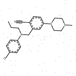 CCCN(Cc1cc(N2CCN(C)CC2)ccc1C#N)c1ccc(Cl)cc1